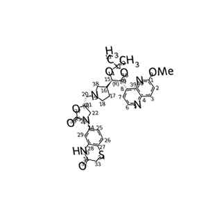 COc1ccc2nccc([C@H]3OC(C)(C)O[C@@H]3C3CCN(C[C@@H]4CN(c5ccc6c(c5)NC(=O)CS6)C(=O)O4)C3)c2n1